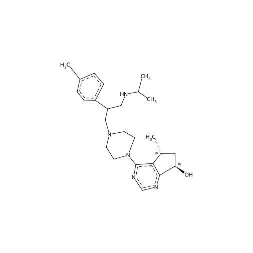 Cc1ccc(C(CNC(C)C)CN2CCN(c3ncnc4c3[C@H](C)C[C@H]4O)CC2)cc1